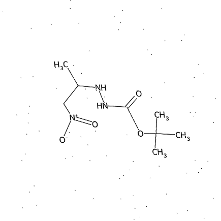 CC(C[N+](=O)[O-])NNC(=O)OC(C)(C)C